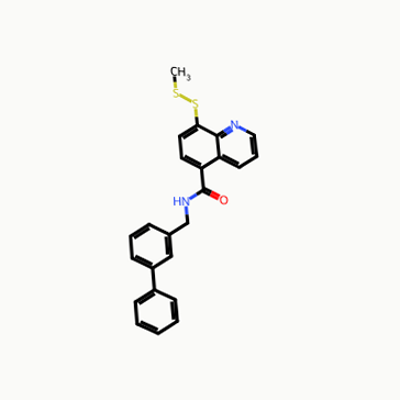 CSSc1ccc(C(=O)NCc2cccc(-c3ccccc3)c2)c2cccnc12